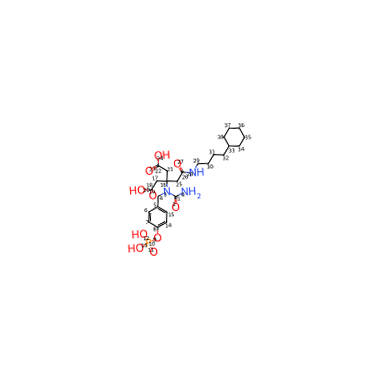 NC(=O)N(Cc1ccc(OP(=O)(O)O)cc1)C(CC(=O)O)(CC(=O)O)CC(=O)NCCCCC1CCCCC1